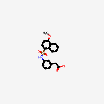 COc1ccc(S(=O)(=O)Nc2cccc(CC(=O)O)c2)c2ccccc12